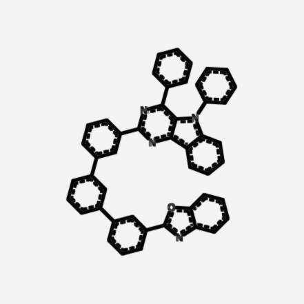 c1ccc(-c2nc(-c3cccc(-c4cccc(-c5cccc(-c6nc7ccccc7o6)c5)c4)c3)nc3c4ccccc4n(-c4ccccc4)c23)cc1